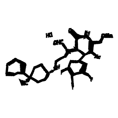 COCC1=C(C(C)=O)C(c2cc(F)c(F)c(F)c2)N(N(C=O)CCN[C@H]2CC[C@@](C#N)(c3ccccc3)CC2)C(=O)N1.Cl